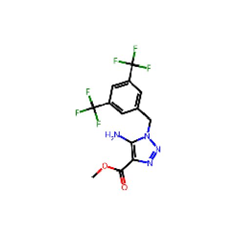 COC(=O)c1nnn(Cc2cc(C(F)(F)F)cc(C(F)(F)F)c2)c1N